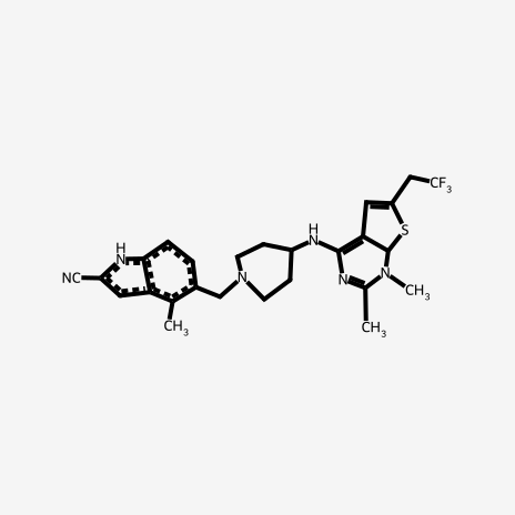 CC1=NC(NC2CCN(Cc3ccc4[nH]c(C#N)cc4c3C)CC2)=C2C=C(CC(F)(F)F)SC2N1C